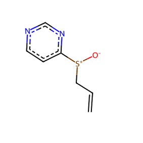 C=CC[S+]([O-])c1ccncn1